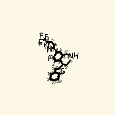 Fc1cc2c(cc1-c1ccc(C(F)(F)F)nn1)CNCCC2c1cc2ccccc2s1